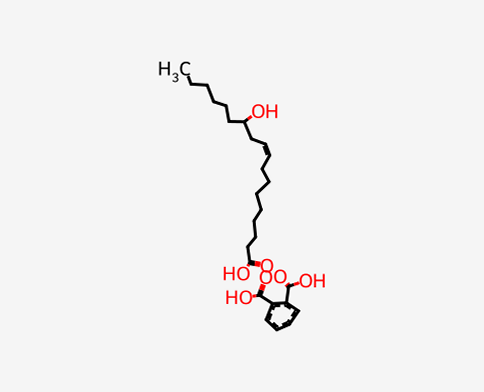 CCCCCCC(O)C/C=C\CCCCCCCC(=O)O.O=C(O)c1ccccc1C(=O)O